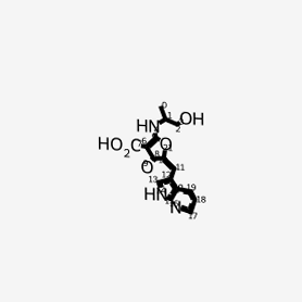 CC(CO)NC1=C(C(=O)O)C(=O)C(=Cc2c[nH]c3ncccc23)O1